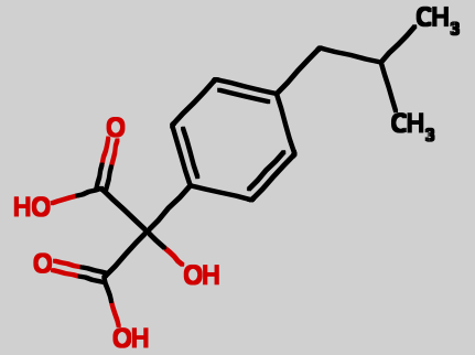 CC(C)Cc1ccc(C(O)(C(=O)O)C(=O)O)cc1